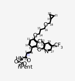 CCCCCS(=O)(=O)NC(=O)/C=C/c1ccc(OCCCOCC2CC2)cc1Oc1ncc(C(F)(F)F)cc1Cl